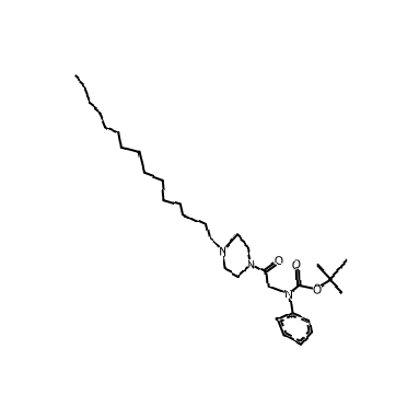 CCCCCCCCCCCCCCCN1CCN(C(=O)CN(C(=O)OC(C)(C)C)c2ccccc2)CC1